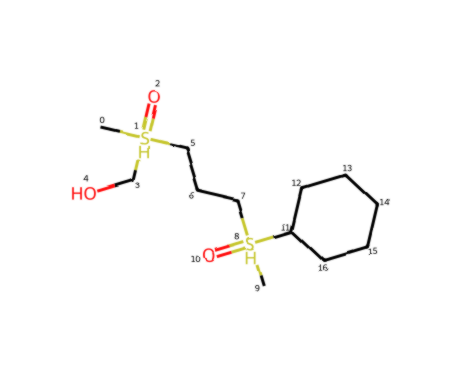 C[SH](=O)(CO)CCC[SH](C)(=O)C1CCCCC1